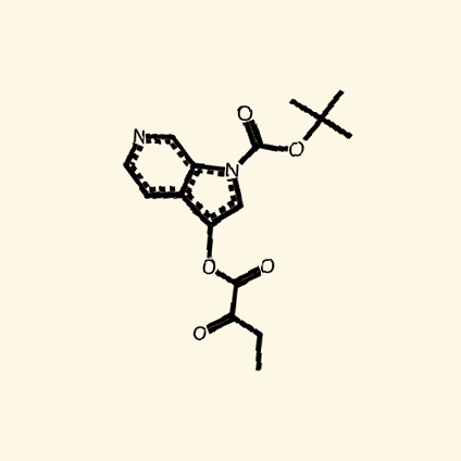 CCC(=O)C(=O)Oc1cn(C(=O)OC(C)(C)C)c2cnccc12